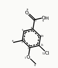 COc1c(C)cc(C(=O)O)cc1Cl